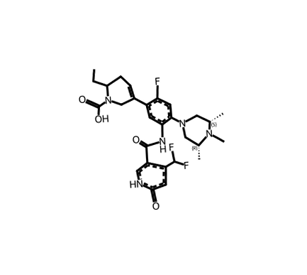 CCC1CC=C(c2cc(NC(=O)c3c[nH]c(=O)cc3C(F)F)c(N3C[C@@H](C)N(C)[C@@H](C)C3)cc2F)CN1C(=O)O